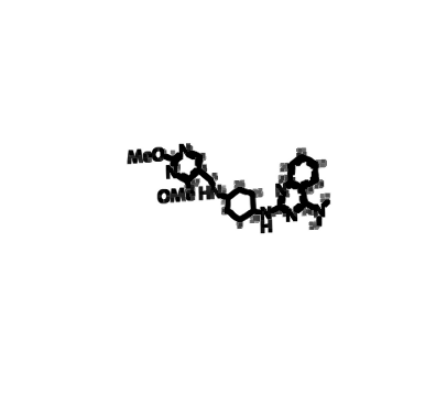 COc1ncc(CNC2CCC(Nc3nc(N(C)C)c4ccccc4n3)CC2)c(OC)n1